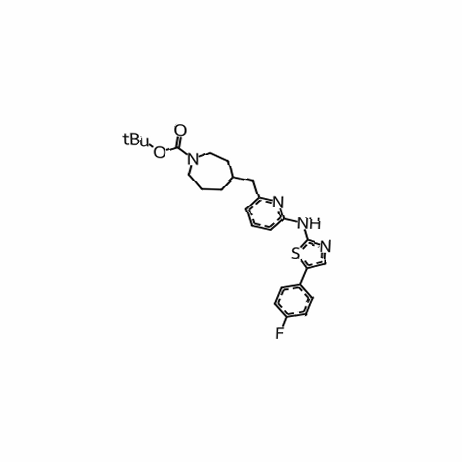 CC(C)(C)OC(=O)N1CCCC(Cc2cccc(Nc3ncc(-c4ccc(F)cc4)s3)n2)CC1